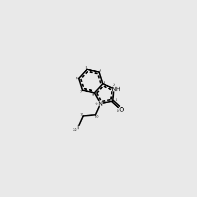 O=c1[nH]c2ccccc2n1CCI